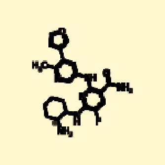 Cc1ncc(Nc2nc(NC3CCCC[C@@H]3N)c(F)cc2C(N)=O)cc1-c1ccoc1